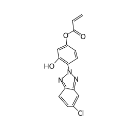 C=CC(=O)Oc1ccc(-n2nc3ccc(Cl)cc3n2)c(O)c1